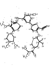 COc1nc(Nc2cc(-c3ccc(OC4CCN(C(=O)[C@@H](C)O)CC4(F)F)c(C#N)c3)ncn2)ccc1N1CCN(C)[C@H](C)C1.Cl